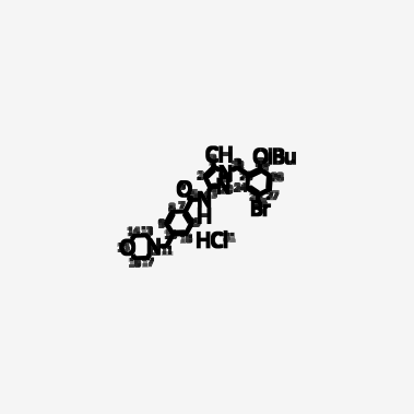 Cc1cc(NC(=O)c2ccc(CN3CCOCC3)cc2)nn1Cc1cc(Br)ccc1OCC(C)C.Cl